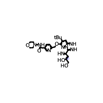 CC(C)(C)c1cc(=N)n(C(=N)C(=N)/C=C(\O)CO)nc1OCc1ccc(C(=O)NN2CCOCC2)cn1